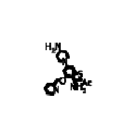 CC(=O)c1sc2cc(N3CCC(N)CC3)cc(OCc3ccccn3)c2c1N